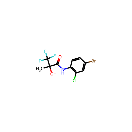 CC(O)(C(=O)Nc1ccc(Br)cc1Cl)C(F)(F)F